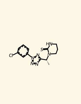 C[C@H](c1nnn(-c2cccc(Cl)c2)n1)N1CCCNC1=S